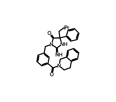 CC(C)CC1(c2ccccc2)NC(=N)N(Cc2cccc(C(=O)N3CCc4ccccc4C3)c2)C1=O